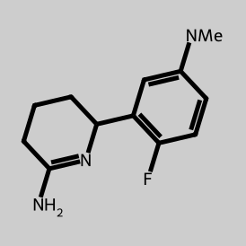 CNc1ccc(F)c(C2CCCC(N)=N2)c1